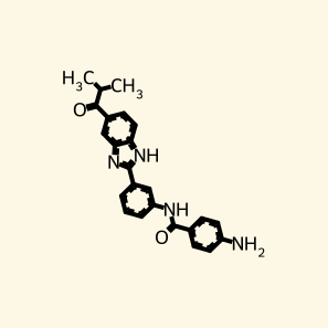 CC(C)C(=O)c1ccc2[nH]c(-c3cccc(NC(=O)c4ccc(N)cc4)c3)nc2c1